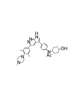 CC(=O)N(c1ccc(-c2c[nH]c3nnc(-c4cc(C)c(N5CCN(C)CC5)c(C)c4)cc23)cc1)C1CCC(O)CC1